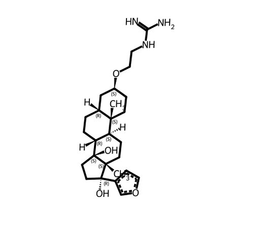 C[C@]12CC[C@H](OCCNC(=N)N)C[C@H]1CC[C@@H]1[C@@H]2CC[C@]2(C)[C@@](O)(c3ccoc3)CC[C@]12O